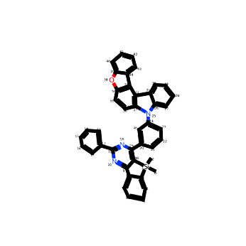 C[Si]1(C)c2ccccc2-c2nc(-c3ccccc3)nc(-c3cccc(-n4c5ccccc5c5c6c(ccc54)oc4ccccc46)c3)c21